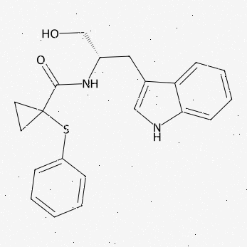 O=C(N[C@H](CO)Cc1c[nH]c2ccccc12)C1(Sc2ccccc2)CC1